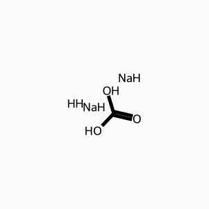 O=C(O)O.[HH].[NaH].[NaH]